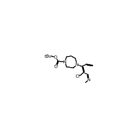 C=C/C(=C(Cl)\C=N/C)N1CCCN(C(=O)OC(C)(C)C)CC1